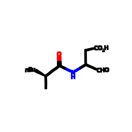 CCCC[C@H](C)C(=O)NC(C=O)CC(=O)O